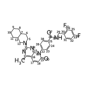 Cc1nc(N2CCC3CCCCC3C2)nc2c1ccc(=O)n2-c1ccc(C(=O)NCc2ccc(F)cc2F)cc1